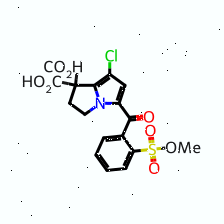 COS(=O)(=O)c1ccccc1C(=O)c1cc(Cl)c2n1CCC2(C(=O)O)C(=O)O